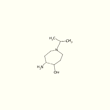 CC(C)N1CCC(N)C(O)CC1